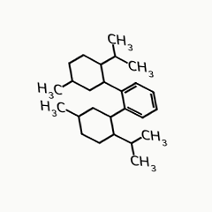 CC1CCC(C(C)C)C(c2ccccc2C2CC(C)CCC2C(C)C)C1